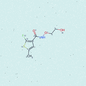 Cc1cc(C(=O)NOCCO)c(F)s1